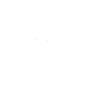 CS(=O)(=O)C1CCOOOOO1